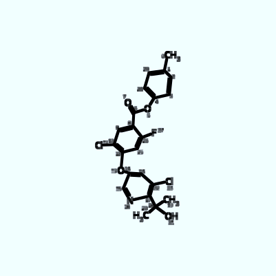 Cc1ccc(OC(=O)c2cc(Cl)c(Oc3cnc(C(C)(C)O)c(Cl)c3)cc2F)cc1